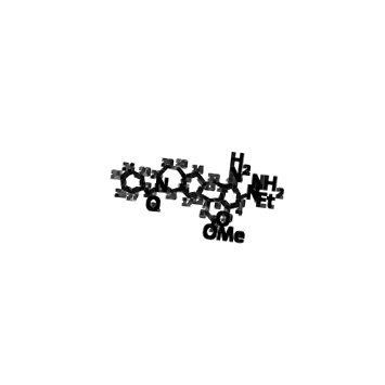 CCN(N)c1ccc(C(CC(=O)OC)c2ccc3c(c2)CN(C(=O)c2ccccc2)CCC3)c(C)c1N